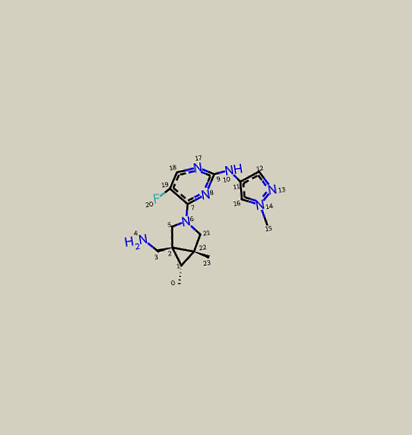 C[C@@H]1[C@]2(CN)CN(c3nc(Nc4cnn(C)c4)ncc3F)C[C@]12C